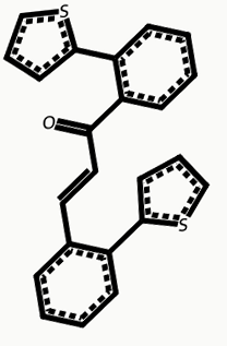 O=C(/C=C/c1ccccc1-c1cccs1)c1ccccc1-c1cccs1